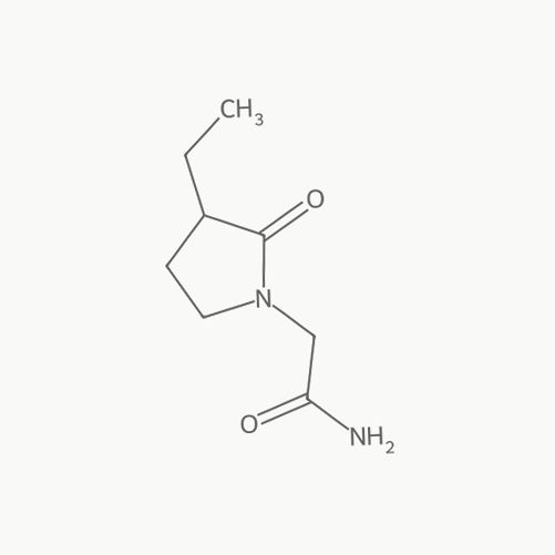 CCC1CCN(CC(N)=O)C1=O